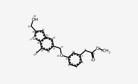 COC(=O)Cc1cccc(OCc2cc(I)c3oc(CO)cc3c2)c1